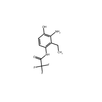 CCc1c(NC(=O)C(F)(F)F)ccc(O)c1N